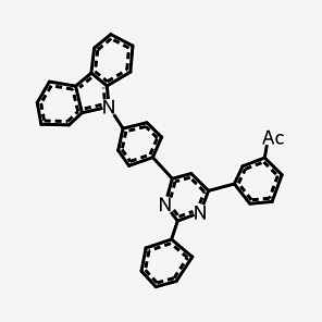 CC(=O)c1cccc(-c2cc(-c3ccc(-n4c5ccccc5c5ccccc54)cc3)nc(-c3ccccc3)n2)c1